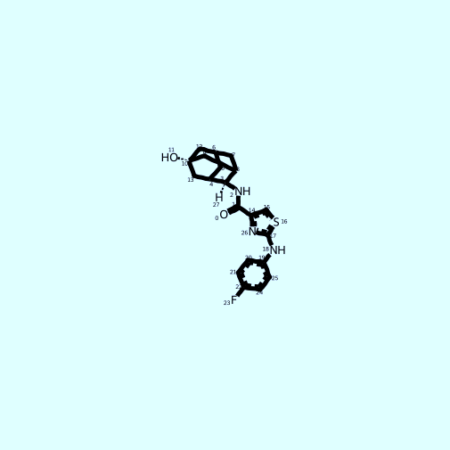 O=C(N[C@H]1C2CC3CC1C[C@](O)(C3)C2)c1csc(Nc2ccc(F)cc2)n1